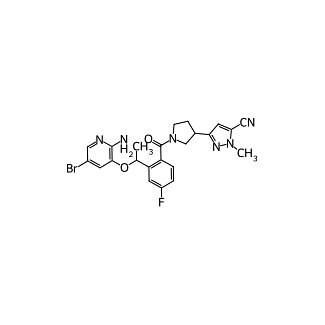 CC(Oc1cc(Br)cnc1N)c1cc(F)ccc1C(=O)N1CCC(c2cc(C#N)n(C)n2)C1